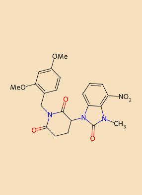 COc1ccc(CN2C(=O)CCC(n3c(=O)n(C)c4c([N+](=O)[O-])cccc43)C2=O)c(OC)c1